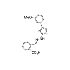 COc1cccc(-c2csc(N/N=C/c3ccccc3C(=O)O)n2)c1